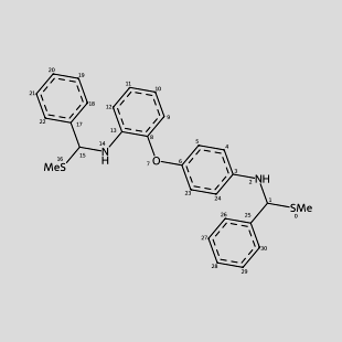 CSC(Nc1ccc(Oc2ccccc2NC(SC)c2ccccc2)cc1)c1ccccc1